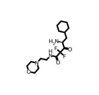 N[C@@H](CC1CCCCC1)C(=O)C(F)(F)C(=O)NCCN1CCOCC1